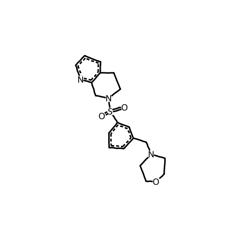 O=S(=O)(c1cccc(CN2CCOCC2)c1)N1CCc2cccnc2C1